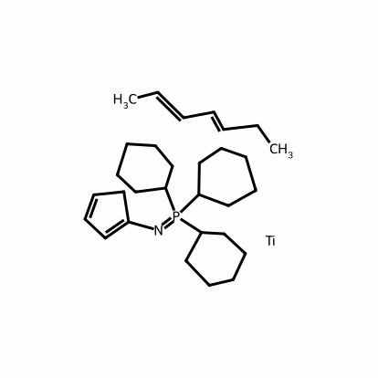 C1=CCC(N=P(C2CCCCC2)(C2CCCCC2)C2CCCCC2)=C1.CC=CC=CCC.[Ti]